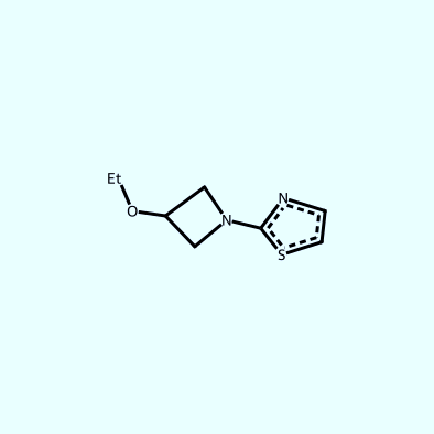 CCOC1CN(c2nccs2)C1